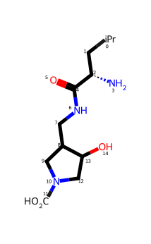 CC(C)C[C@H](N)C(=O)NCC1CN(C(=O)O)CC1O